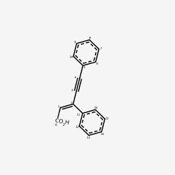 O=C(O)C=C(C#Cc1ccccc1)c1ccccc1